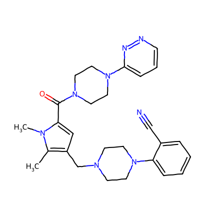 Cc1c(CN2CCN(c3ccccc3C#N)CC2)cc(C(=O)N2CCN(c3cccnn3)CC2)n1C